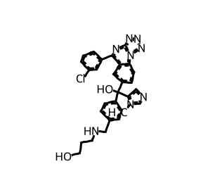 Cn1cncc1C(O)(c1ccc(CNCCCO)cc1)c1ccc2c(c1)c(-c1cccc(Cl)c1)nc1nnnn12